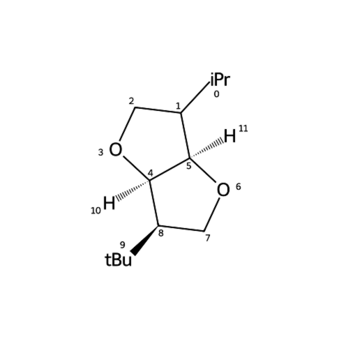 CC(C)C1CO[C@H]2[C@@H]1OC[C@H]2C(C)(C)C